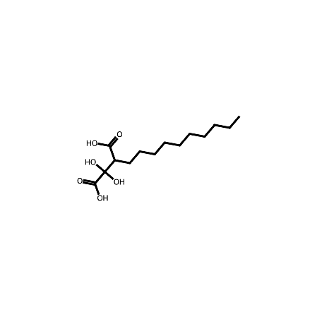 CCCCCCCCCCC(C(=O)O)C(O)(O)C(=O)O